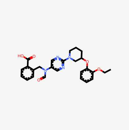 CCOc1ccccc1OC1CCCN(c2ncc(N(C=O)Cc3ccccc3C(=O)O)cn2)C1